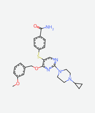 COc1cccc(COc2nc(N3CCN(C4CC4)CC3)ncc2Sc2ccc(C(N)=O)cc2)c1